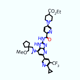 CCOC(=O)C1CCN(c2ccc(C(=O)Nc3nc4nc(-c5cnc(C6CC6)c(C(F)(F)F)c5)cc(N(C)CC5(COC)CCCC5)c4[nH]3)nc2)CC1